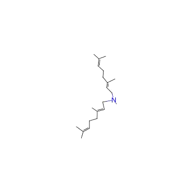 CC(C)=CCC/C(C)=C/CN(C)C/C=C(\C)CCC=C(C)C